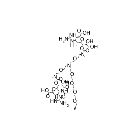 C#CCOCCOCCOCCOCCN(CCOCCN(C)C(=O)O[C@@H]([C@@H]1OC(C(=O)O)=C[C@H](NC(=N)N)[C@H]1C)[C@H](O)CO)CCOCCN(C)C(=O)O[C@@H]([C@@H]1OC(C(=O)O)=C[C@H](NC(=N)N)[C@H]1NC(C)=O)[C@H](O)CO